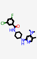 Cc1cnc(N[C@H]2CC[C@@H](NC(=O)c3cc(F)cc(Cl)c3)CC2)cc1N(C)C